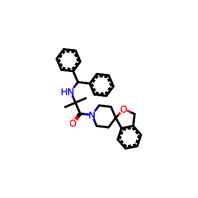 CC(C)(NC(c1ccccc1)c1ccccc1)C(=O)N1CCC2(CC1)OCc1ccccc12